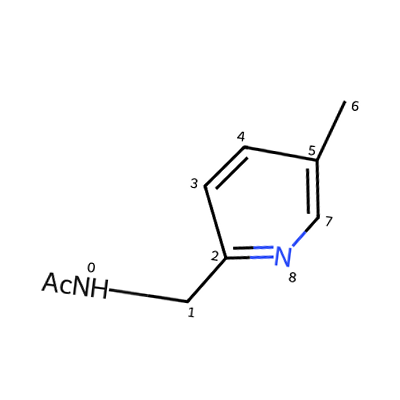 CC(=O)NCc1ccc(C)cn1